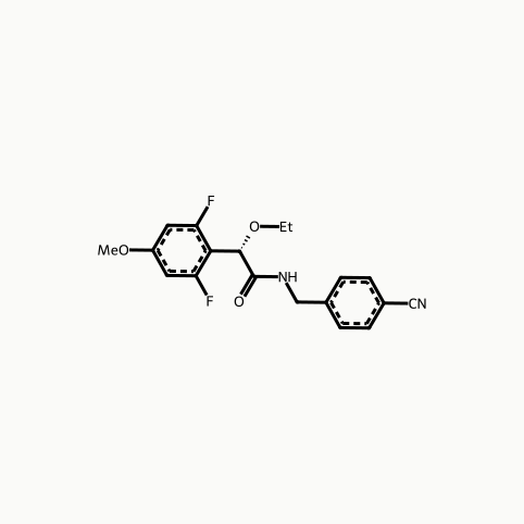 CCO[C@H](C(=O)NCc1ccc(C#N)cc1)c1c(F)cc(OC)cc1F